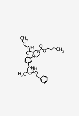 C=CCCNC(=O)C1CN(C(=O)OCCCC)CCN1c1cccc([C@H](CC=C)NC(=O)OCc2ccccc2)c1